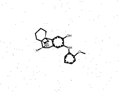 COc1ccccc1Nc1cc2c(cc1O)[C@@]13CCCC[C@H]1[C@@H](C2)NCC3